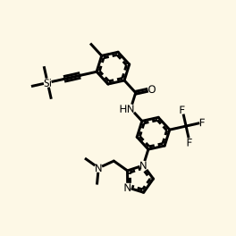 Cc1ccc(C(=O)Nc2cc(-n3ccnc3CN(C)C)cc(C(F)(F)F)c2)cc1C#C[Si](C)(C)C